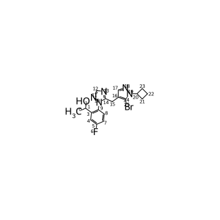 CC(O)c1cc(F)ccc1-n1ncnc1Cc1cnn(C2CCC2)c1Br